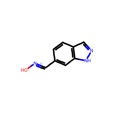 O/N=C/c1ccc2cn[nH]c2c1